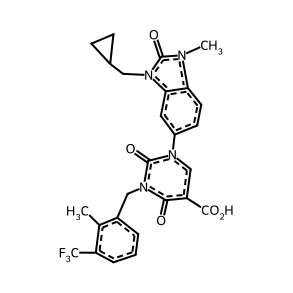 Cc1c(Cn2c(=O)c(C(=O)O)cn(-c3ccc4c(c3)n(CC3CC3)c(=O)n4C)c2=O)cccc1C(F)(F)F